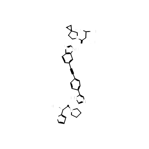 CC(C)[C@H](C)C(=O)N1CC2(CC2)C[C@H]1c1nc2ccc(C#Cc3ccc(-c4cnc([C@@H]5CCCN5C(=O)[C@H](C)c5cccs5)[nH]4)cc3)cc2[nH]1